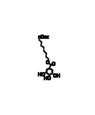 CCCCCCCCCCCCCCCCCCOC(=O)c1cc(O)c(O)c(O)c1